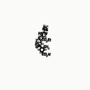 CCOC(=O)C1=C(CN2CCC3(F)C(=O)N(c4ccc(C(=O)O)cc4C)CC3C2)NC(c2nccs2)=NC1